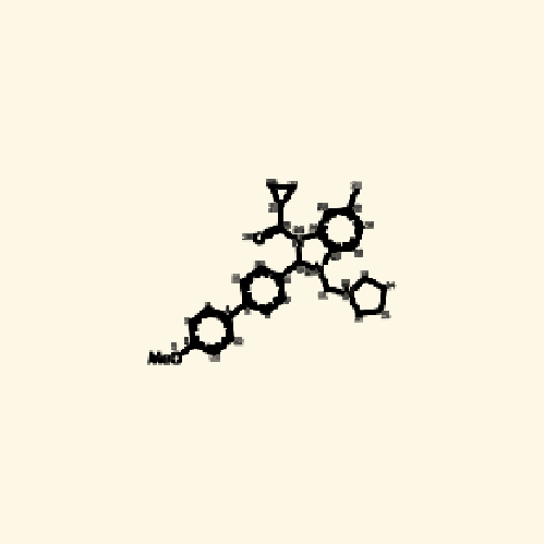 COc1ccc(-c2ccc(C3N(CN4CCCC4)c4ccc(C)cc4N3C(=O)C3CC3)cc2)cc1